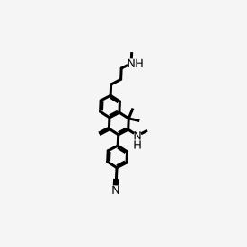 C=C1C(c2ccc(C#N)cc2)=C(NC)C(C)(C)c2cc(CCCNC)ccc21